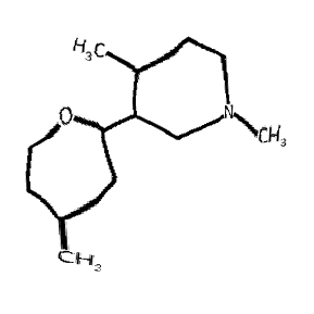 CC1CCOC(C2CN(C)CCC2C)C1